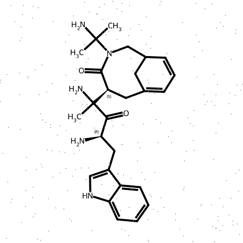 CC(N)(C(=O)[C@H](N)Cc1c[nH]c2ccccc12)[C@@H]1CC2=CC=CC(C2)CN(C(C)(C)N)C1=O